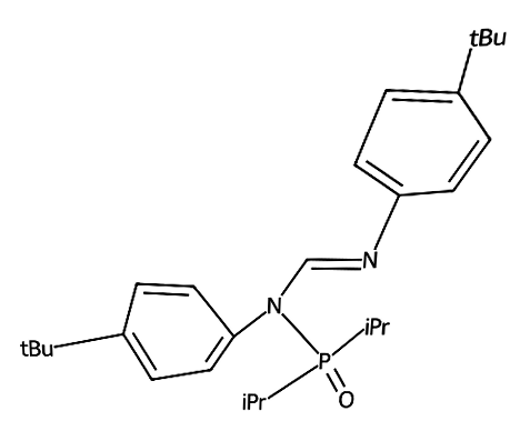 CC(C)P(=O)(C(C)C)N(C=Nc1ccc(C(C)(C)C)cc1)c1ccc(C(C)(C)C)cc1